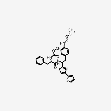 COOSNc1ccc(CC(NC(=O)C(Cc2ccccc2)NC(=O)OC)c2nc(-c3cccs3)cs2)cc1